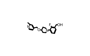 Cc1cc(COC2CCN(c3cccc(CO)c3F)CC2)ccn1